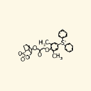 Cc1cc([S+](c2ccccc2)c2ccccc2)cc(C)c1OCC(=O)OC1C2CC3C1OS(=O)(=O)C3C2